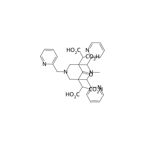 CN1C(c2ccccn2)C2(C(C(=O)O)C(=O)O)CN(Cc3ccccn3)CC(C(C(=O)O)C(=O)O)(C2=O)C1c1ccccn1